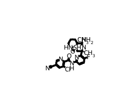 C[C@@]12CCCN[SH]1(=O)C[C@@](C)(c1nc(NC(=O)c3ncc(C#N)cc3Cl)ccc1F)N=C2N